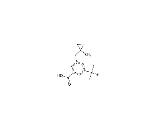 CC1(Cc2cc(C(=O)O)cc(C(F)(F)F)c2)CC1